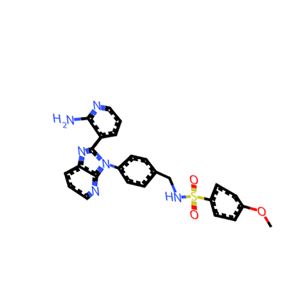 COc1ccc(S(=O)(=O)NCc2ccc(-n3c(-c4cccnc4N)nc4cccnc43)cc2)cc1